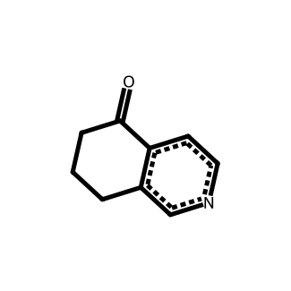 O=C1CCCc2cnccc21